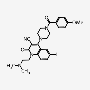 COc1ccc(C(=O)N2CCN(c3c(C#N)c(=O)n(CCN(C)C)c4ccc(I)cc34)CC2)cc1